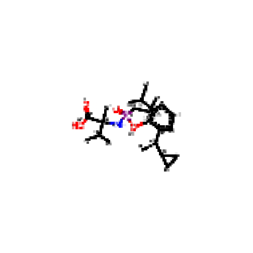 CCCP(=O)(NC(C)(C(=O)O)C(C)C)Oc1c(C(C)C)cccc1[C@H](C)C1CC1